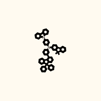 CC1(C)c2ccccc2-c2ccc(N(c3ccc(-n4c5ccccc5c5ccccc54)cc3)c3cccc(-c4cccc5c4-c4ccccc4C5(c4ccccc4)c4ccccc4)c3)cc21